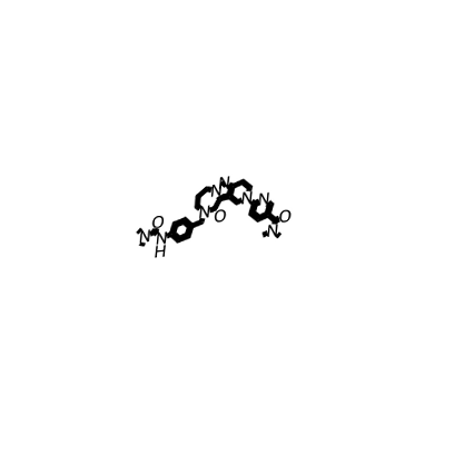 CN(C)C(=O)Nc1ccc(CN2CCCn3nc4c(c3C2=O)CN(c2ccc(C(=O)N(C)C)cn2)CC4)cc1